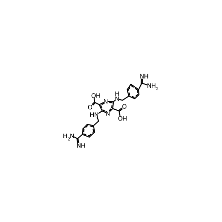 N=C(N)c1ccc(CNc2nc(C(=O)O)c(NCc3ccc(C(=N)N)cc3)nc2C(=O)O)cc1